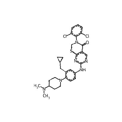 CN(C)C1CCN(c2ccc(Nc3ncc4c(n3)SCN(c3c(Cl)cccc3Cl)C4=O)cc2CC2CC2)CC1